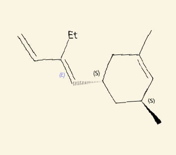 C=C/C(=C/[C@@H]1CC(C)=C[C@@H](C)C1)CC